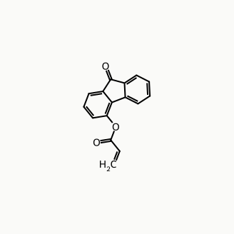 C=CC(=O)Oc1cccc2c1-c1ccccc1C2=O